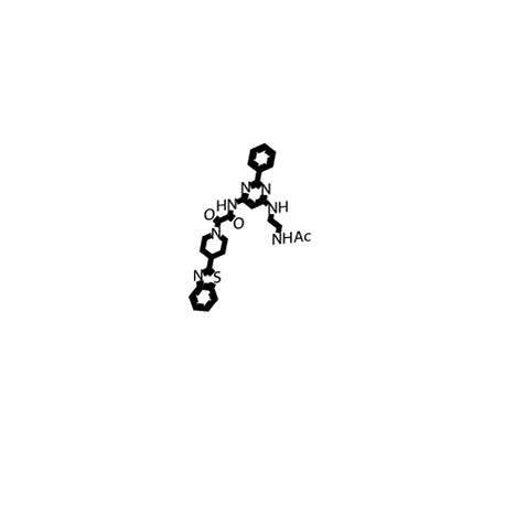 CC(=O)NCCNc1cc(NC(=O)C(=O)N2CCC(c3nc4ccccc4s3)CC2)nc(-c2ccccc2)n1